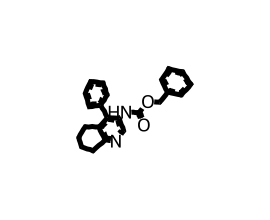 O=C(Nc1cnc2c(c1-c1ccccc1)CCCC2)OCc1ccccc1